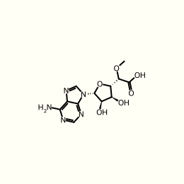 COC(C(=O)O)[C@H]1O[C@@H](n2cnc3c(N)ncnc32)[C@H](O)[C@@H]1O